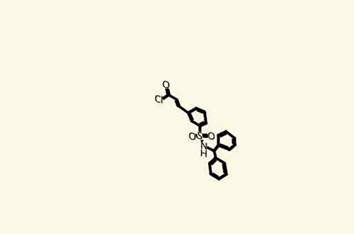 O=C(Cl)C=Cc1cccc(S(=O)(=O)NC(c2ccccc2)c2ccccc2)c1